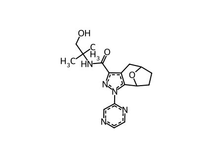 CC(C)(CO)NC(=O)c1nn(-c2cnccn2)c2c1CC1CCC2O1